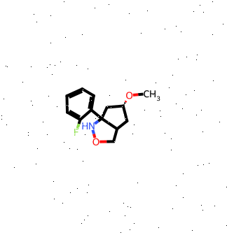 CO[C@@H]1CC2CONC2(c2ccccc2F)C1